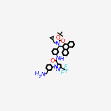 CC(C)(C)OC(=O)N(CC1CC1)C(c1cccc(NC(=O)c2cc(C(F)(F)F)nn2-c2cccc(CN)c2)c1)c1cc2ccccc2c2ccccc12